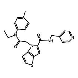 CCN(C(=O)Cn1c(C(=O)NCc2ccncc2)cc2sccc21)c1ccc(C)cc1